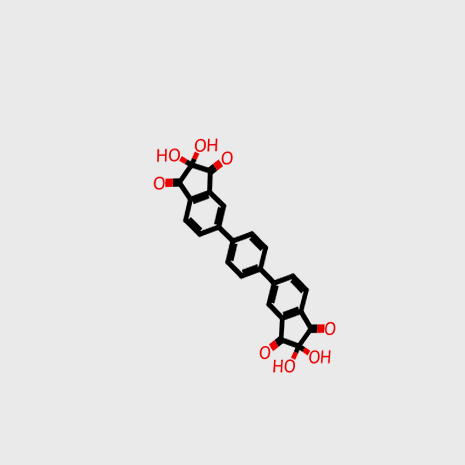 O=C1c2ccc(-c3ccc(-c4ccc5c(c4)C(=O)C(O)(O)C5=O)cc3)cc2C(=O)C1(O)O